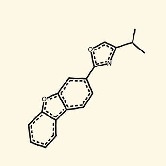 CC(C)c1coc(-c2ccc3c(c2)oc2ccccc23)n1